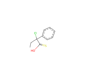 CCC(Cl)(C(O)=S)c1ccccc1